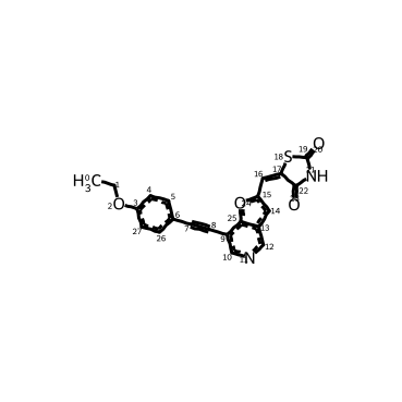 CCOc1ccc(C#Cc2cncc3cc(C=C4SC(=O)NC4=O)oc23)cc1